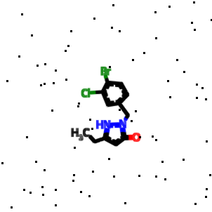 CCc1cc(=O)n(Cc2ccc(Br)c(Cl)c2)[nH]1